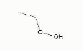 [CH2]COO